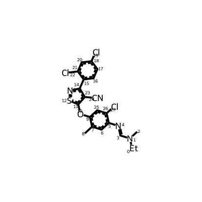 CCN(C)C=Nc1cc(C)c(Oc2snc(-c3ccc(Cl)cc3Cl)c2C#N)cc1Cl